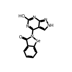 O=c1c2ccccc2[se]n1-c1nc(O)nc2n[nH]cc12